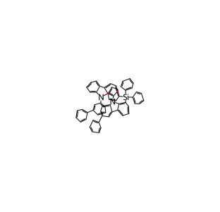 c1ccc(-c2cccc(-n3c4ccccc4c4cccc(-n5c6ccc(-c7ccccc7)cc6c6cccc([Si](c7ccccc7)(c7ccccc7)c7ccccc7)c65)c43)c2)cc1